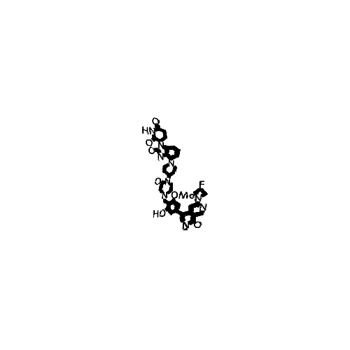 COc1cc(-c2cn(C)c(=O)c3cnc(N4CC(F)C4)cc23)cc(O)c1CN1CCN(C2CCN(c3cccc4c3n(C)c(=O)n4C3CCC(=O)NC3=O)CC2)C(=O)C1